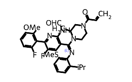 C=CC(=O)N1CCN(/C(=N/c2c(SC)cccc2C(C)C)c2cc(F)c(-c3c(F)cccc3OC)nc2NC=O)C(C)C1